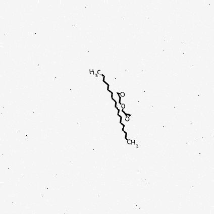 C(OCC1CO1)C1CO1.CCCCCCCCCCCCCCCCCC